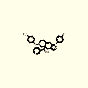 OC(c1cccnc1)C12Cc3cnn(-c4ccc(F)cc4)c3C=C1CCN(Sc1ccc(C(F)(F)F)cc1)C2